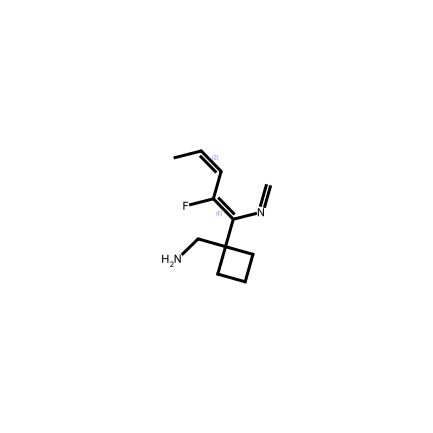 C=N/C(=C(F)\C=C/C)C1(CN)CCC1